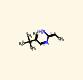 C=C(/C=N\C(N)=C/C)C(C)(C)C